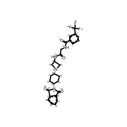 O=C(CNC(=O)c1cccc(C(F)(F)F)c1)NC1CN([C@H]2CC[C@@H](N3C(=O)c4ccccc4C3=O)CC2)C1